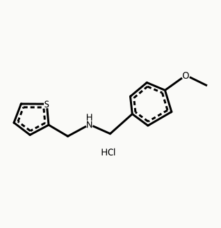 COc1ccc(CNCc2cccs2)cc1.Cl